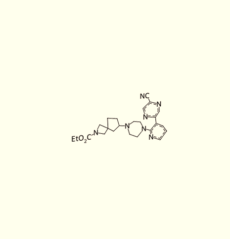 CCOC(=O)N1CC2(CCC(N3CCN(c4ncccc4-c4cnc(C#N)cn4)CC3)C2)C1